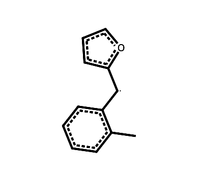 Cc1ccccc1[CH]c1ccco1